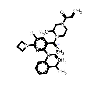 C=CC(=O)N1CCN(/C(=N/C)c2cc(Cl)c(N3CCC3)nc2N(C=O)c2ccccc2C(C)C)C(C)C1